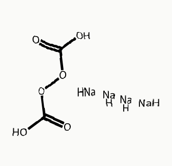 O=C(O)OOC(=O)O.[NaH].[NaH].[NaH].[NaH]